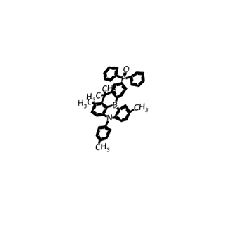 Cc1ccc(N2c3ccc(C)cc3B3c4ccc(P(=O)(c5ccccc5)c5ccccc5)cc4C(C)(C)c4c(C)ccc2c43)cc1